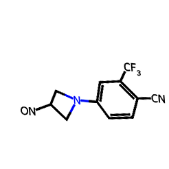 N#Cc1ccc(N2CC(N=O)C2)cc1C(F)(F)F